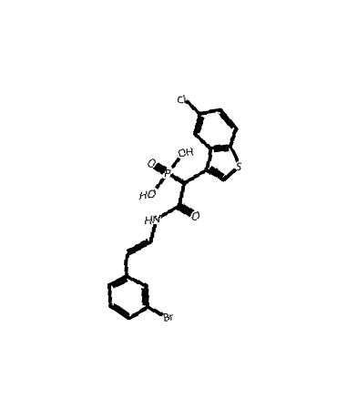 O=C(N/C=C/c1cccc(Br)c1)C(c1csc2ccc(Cl)cc12)P(=O)(O)O